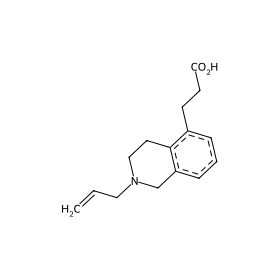 C=CCN1CCc2c(CCC(=O)O)cccc2C1